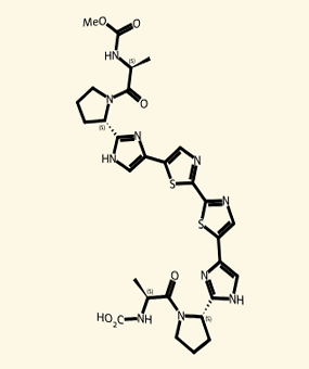 COC(=O)N[C@@H](C)C(=O)N1CCC[C@H]1c1nc(-c2cnc(-c3ncc(-c4c[nH]c([C@@H]5CCCN5C(=O)[C@H](C)NC(=O)O)n4)s3)s2)c[nH]1